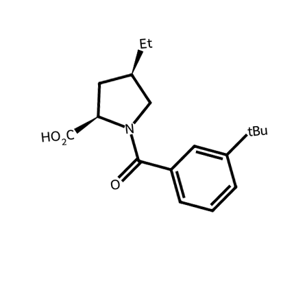 CC[C@@H]1C[C@H](C(=O)O)N(C(=O)c2cccc(C(C)(C)C)c2)C1